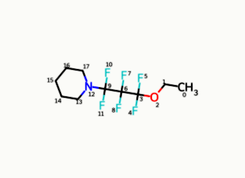 CCOC(F)(F)C(F)(F)C(F)(F)N1CCCCC1